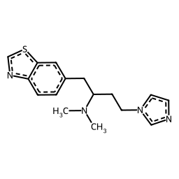 CN(C)C(CCn1ccnc1)Cc1ccc2ncsc2c1